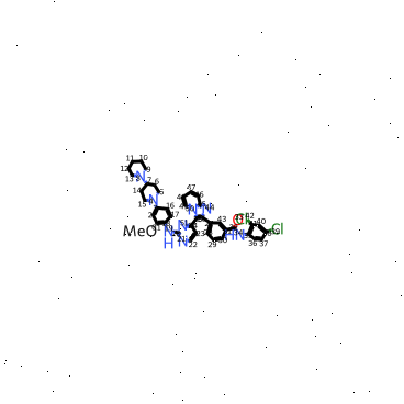 COc1cc(N2CCC(N3CCCCC3)CC2)ccc1Nc1nccc(-c2c(-c3cccc(C(=O)Nc4ccc(Cl)cc4Cl)c3)nc3ccccn23)n1